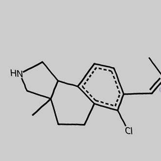 C/C=C\c1ccc2c(c1Cl)CCC1(C)CNCC21